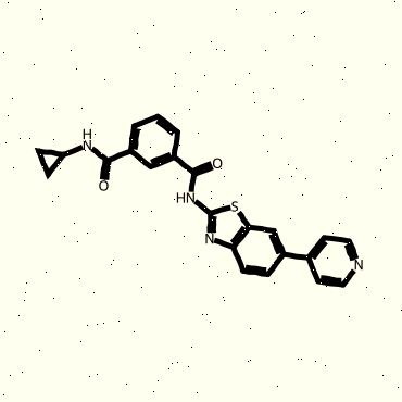 O=C(Nc1nc2ccc(-c3ccncc3)cc2s1)c1cccc(C(=O)NC2CC2)c1